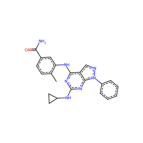 Cc1ccc(C(N)=O)cc1Nc1nc(NC2CC2)nc2c1cnn2-c1ccccc1